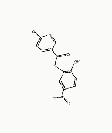 O=C(Cc1cc([N+](=O)[O-])ccc1O)c1ccc(Cl)cc1